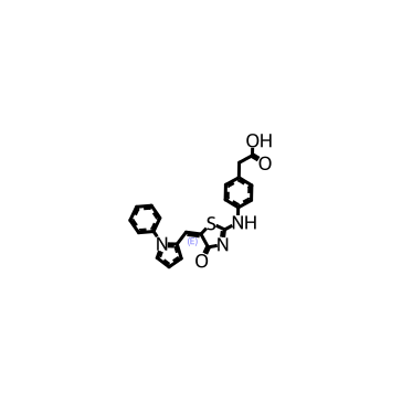 O=C(O)Cc1ccc(NC2=NC(=O)/C(=C\c3cccn3-c3ccccc3)S2)cc1